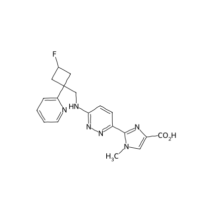 Cn1cc(C(=O)O)nc1-c1ccc(NCC2(c3ccccn3)CC(F)C2)nn1